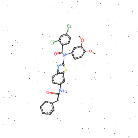 COc1ccc(N(C(=O)c2ccc(Cl)cc2Cl)c2nc3ccc(NC(=O)Cc4ccccc4)cc3s2)cc1OC